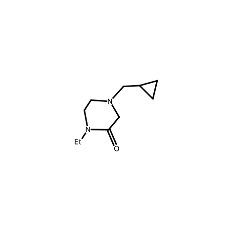 CCN1CCN(CC2CC2)CC1=O